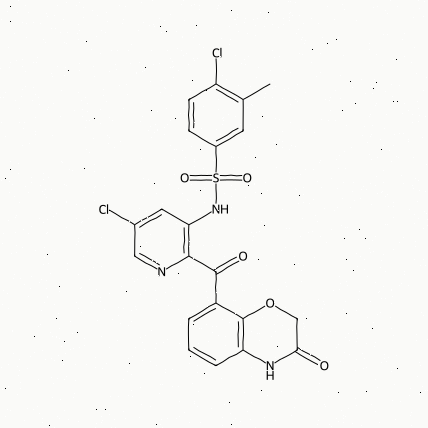 Cc1cc(S(=O)(=O)Nc2cc(Cl)cnc2C(=O)c2cccc3c2OCC(=O)N3)ccc1Cl